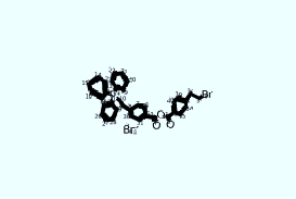 O=C(OC(=O)c1ccc(CC[P+](c2ccccc2)(c2ccccc2)c2ccccc2)cc1)c1ccc(CCBr)cc1.[Br-]